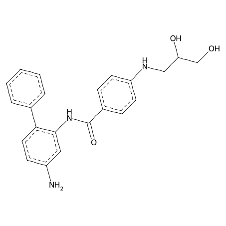 Nc1ccc(-c2ccccc2)c(NC(=O)c2ccc(NCC(O)CO)cc2)c1